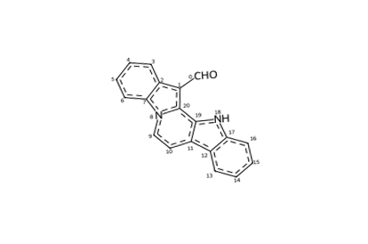 O=Cc1c2ccccc2n2ccc3c4ccccc4[nH]c3c12